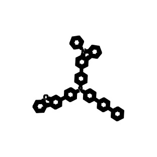 c1ccc(-c2ccc(-c3ccc(N(c4ccc(-c5ccc6c(c5)oc5ccccc56)cc4)c4ccc(-c5ccc6c(c5)c5ccccc5n6-c5ccccc5)cc4)cc3)cc2)cc1